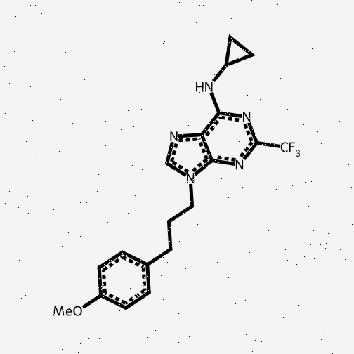 COc1ccc(CCCn2cnc3c(NC4CC4)nc(C(F)(F)F)nc32)cc1